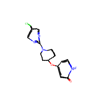 O=c1cc(OC2CCN(c3ncc(Cl)cn3)CC2)cc[nH]1